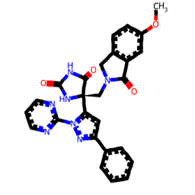 COc1ccc2c(c1)C(=O)N(C[C@@]1(c3cc(-c4ccccc4)nn3-c3ncccn3)NC(=O)NC1=O)C2